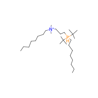 CCCCCCCC[N+](C)(C)CCC[PH](CCCCCCCC)(C(C)(C)C)C(C)(C)C